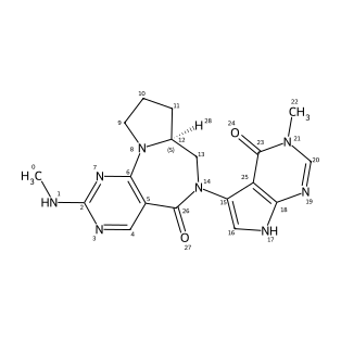 CNc1ncc2c(n1)N1CCC[C@H]1CN(c1c[nH]c3ncn(C)c(=O)c13)C2=O